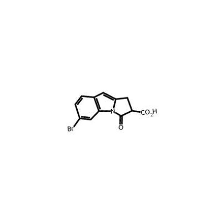 O=C(O)C1Cc2cc3ccc(Br)cc3n2C1=O